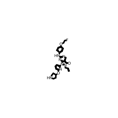 C=CCn1c(=O)c2cnc(Nc3ccc(OCCF)cc3)nc2n1-c1cccc(OC2CCNCC2)n1